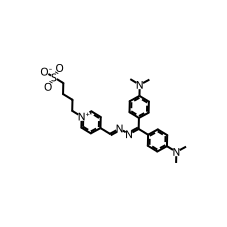 CN(C)c1ccc(C(=N/N=C/c2cc[n+](CCCCS(=O)(=O)[O-])cc2)c2ccc(N(C)C)cc2)cc1